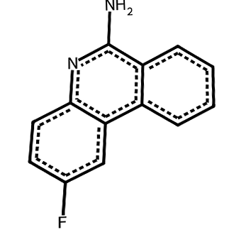 Nc1nc2ccc(F)cc2c2ccccc12